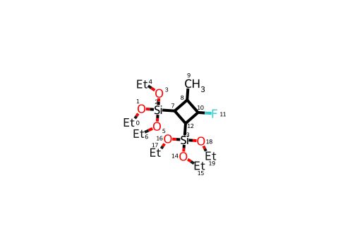 CCO[Si](OCC)(OCC)C1C(C)C(F)C1[Si](OCC)(OCC)OCC